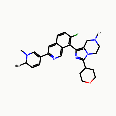 CC(=O)N1CCn2c(C3CCOCC3)nc(-c3c(F)ccc4cc(C5=CN(C)C(C(C)(C)C)C=C5)ncc34)c2C1